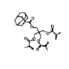 C=C(C)C(=O)OCC(COC(=O)C(=C)C)(COC(=O)C(=C)C)COC(=O)C12CC3CC(CC(C3)C1)C2